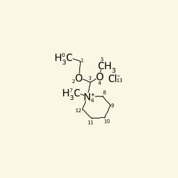 CCOC(OC)[N+]1(C)CCCCC1.[Cl-]